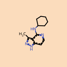 Cc1n[nH]c2ccnc(NC3CCCCC3)c12